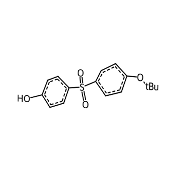 CC(C)(C)Oc1ccc(S(=O)(=O)c2ccc(O)cc2)cc1